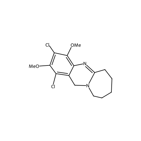 COc1c(Cl)c2c(c(OC)c1Cl)N=C1CCCCCN1C2